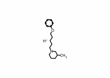 CC1CCCN(CCCCCOc2ccccc2)C1.[H+]